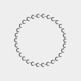 [CH]1CCCCCCCCCCCCCCCCCCCCCCCCCCCCC1